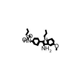 CCCn1c(-c2ccc(NS(=O)(=O)CCC)cc2)c(N)c2cc(OC)ccc21